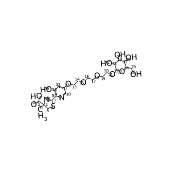 C[C@]1(C(=O)O)CSC(c2ncc(OCCOCCOCCO[C@@H]3OC(CO)[C@H](O)[C@H](O)C3O)cc2O)=N1